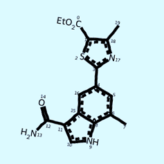 CCOC(=O)c1sc(-c2cc(C)c3[nH]cc(C(N)=O)c3c2)nc1C